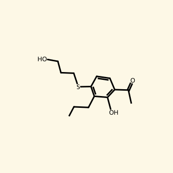 CCCc1c(SCCCO)ccc(C(C)=O)c1O